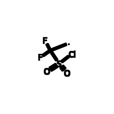 [CH2]C(F)(F)S(=O)(=O)Cl